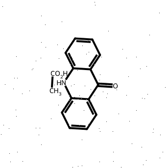 CC(=O)O.O=c1c2ccccc2[nH]c2ccccc12